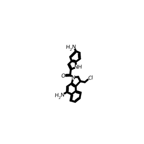 Nc1ccc2[nH]c(C(=O)N3CC(CCl)c4c3cc(N)c3ccccc43)cc2c1